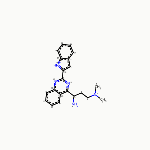 CN(C)CCC(N)c1nc(-c2cc3ccccc3[nH]2)nc2ccccc12